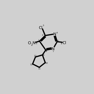 O=[N+]([O-])c1c(Cl)nc(Cl)nc1C1CCCC1